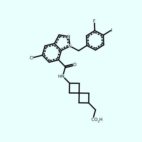 O=C(O)CC1CC2(C1)CC(NC(=O)c1cc(Cl)cc3cnn(Cc4ccc(I)c(F)c4)c13)C2